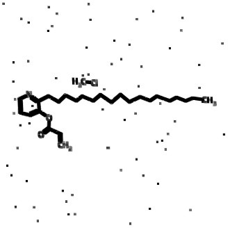 C=CC(=O)Oc1cccnc1CCCCCCCCCCCCCCCCCC.CCl